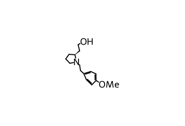 COc1ccc(CCN2CCC[C@H]2CCO)cc1